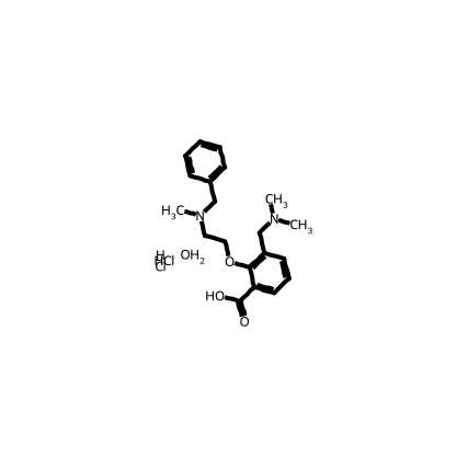 CN(C)Cc1cccc(C(=O)O)c1OCCN(C)Cc1ccccc1.Cl.Cl.O